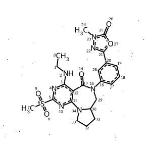 CCNc1nc(S(C)(=O)=O)nc2c1C(=O)N(c1cccc(-c3nn(C)c(=O)o3)c1)CC1CCCN21